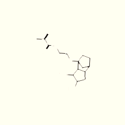 C=C(C)C(=O)OCCOC12CCC(C1)C1CC(O)C(O)C12